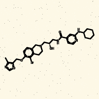 Cc1ncoc1COc1ccc2c(c1Br)CCN(C[C@@H](O)CNC(=O)c1ccnc(NC3CCCCC3)c1)C2